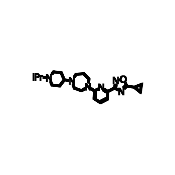 CC(C)N1CCC(N2CCCN(c3cccc(-c4noc(C5CC5)n4)n3)CC2)CC1